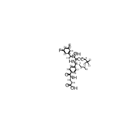 CCCC[C@@H](NC(=C=C=CC(C)(C)C)N(O)C(C)c1cc(F)cc(F)c1)c1ccc(C(=O)NCCC(=O)O)cc1